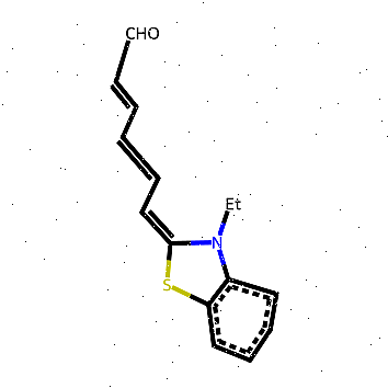 CCN1\C(=C/C=C/C=C/C=O)Sc2ccccc21